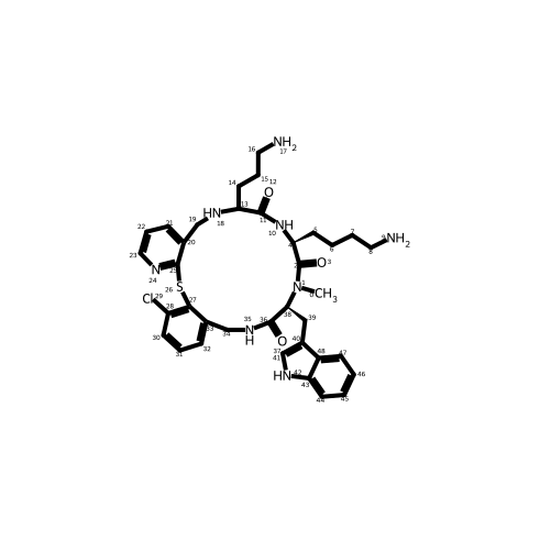 CN1C(=O)[C@H](CCCCN)NC(=O)C(CCCN)NCc2cccnc2Sc2c(Cl)cccc2CNC(=O)[C@@H]1Cc1c[nH]c2ccccc12